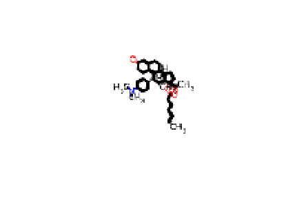 CCCCCCC(=O)O[C@]1(C(C)=O)CC[C@H]2[C@@H]3CCC4=CC(=O)CCC4=C3[C@@H](c3ccc(N(C)C)cc3)C[C@@]21C